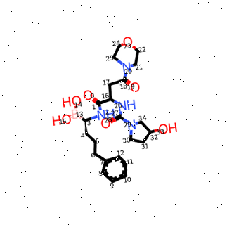 O=C(N[C@@H](CCCc1ccccc1)B(O)O)C(CC(=O)N1CCOCC1)NC(=O)N1CCC(O)C1